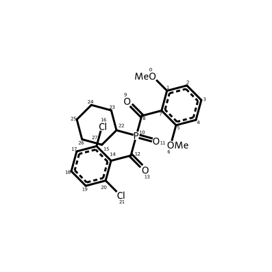 COc1cccc(OC)c1C(=O)P(=O)(C(=O)c1c(Cl)cccc1Cl)C1CCCCC1